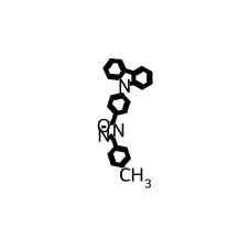 Cc1ccc(-c2noc(-c3ccc(-n4c5ccccc5c5ccccc54)cc3)n2)cc1